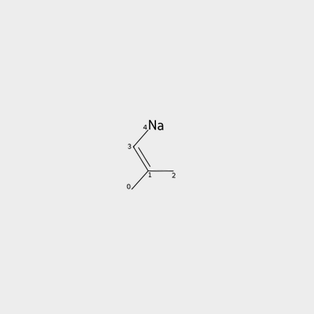 CC(C)=[CH][Na]